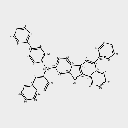 c1ccc(-c2ccc(N(c3ccc4ccccc4c3)c3ccc4c(c3)oc3c5ccccc5c(-c5ccccc5)cc43)cc2)cc1